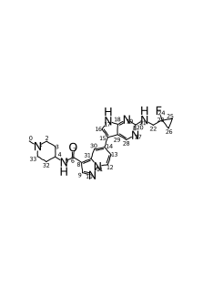 CN1CCC(NC(=O)c2cnn3ccc(-c4c[nH]c5nc(NCC6(F)CC6)ncc45)cc23)CC1